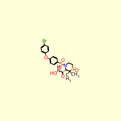 CC1(C)[C@H](C(=O)NO)N(S(=O)(=O)c2ccc(Oc3ccc(Br)cc3)cc2)CC[S+]1[O-]